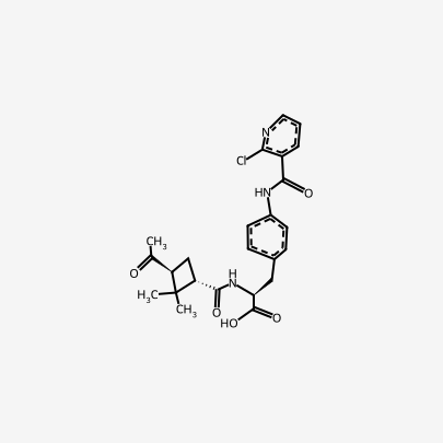 CC(=O)[C@H]1C[C@H](C(=O)N[C@@H](Cc2ccc(NC(=O)c3cccnc3Cl)cc2)C(=O)O)C1(C)C